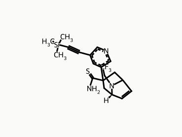 C[Si](C)(C)C#Cc1cncc(C2(C(N)=S)CC3C=C[C@H](C2)N3CC(F)(F)F)c1